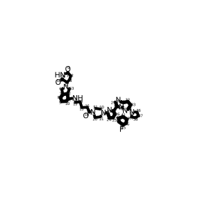 O=C1CCC(N2Cc3cccc(NCCCCC(=O)N4CCN(c5cccc(-c6cnc7ccc(N8CCC[C@@H]8c8cccc(F)c8)nn67)n5)CC4)c3C2)C(=O)N1